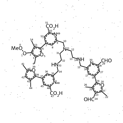 COOc1c(C)oc(-c2cc(CN(CCNCc3cc(-c4oc(C)c(C=O)c4C)cc(C=O)n3)CCNCc3cc(-c4oc(C)cc4C)cc(C(=O)O)n3)nc(C(=O)O)c2)c1C